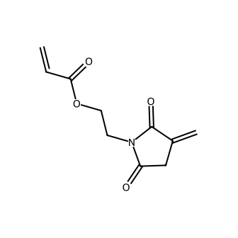 C=CC(=O)OCCN1C(=O)CC(=C)C1=O